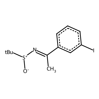 C/C(=N\[S+]([O-])C(C)(C)C)c1cccc(I)c1